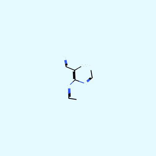 C/C=N\C(/N=C\C)=C(C=N)NC